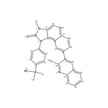 Cn1c(=O)n(-c2ccc(C(C)(C)C#N)cc2)c2c3cc(-c4cc5ccccc5nc4F)ccc3ncc21